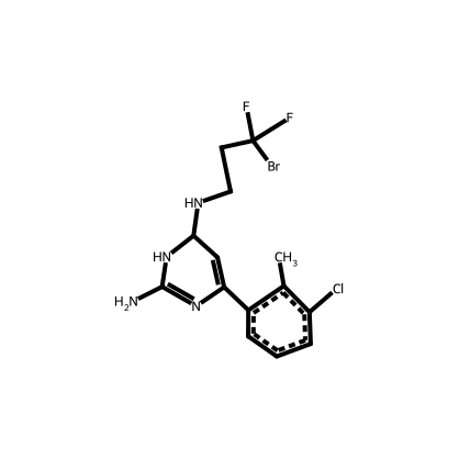 Cc1c(Cl)cccc1C1=CC(NCCC(F)(F)Br)NC(N)=N1